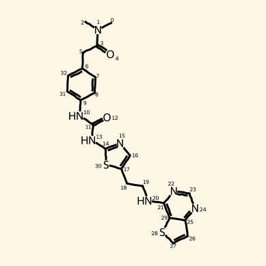 CN(C)C(=O)Cc1ccc(NC(=O)Nc2ncc(CCNc3ncnc4ccsc34)s2)cc1